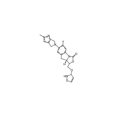 Cn1cc2c(n1)CN(c1cc3c(cc1F)N1C(=O)OC(COC4C=CON4)[C@@H]1C3)C2